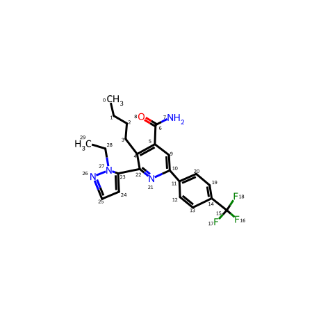 CCCCc1c(C(N)=O)cc(-c2ccc(C(F)(F)F)cc2)nc1-c1ccnn1CC